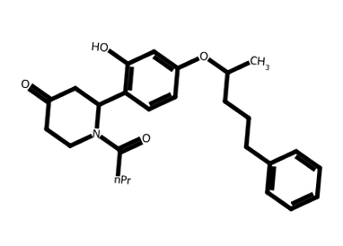 CCCC(=O)N1CCC(=O)CC1c1ccc(OC(C)CCCc2ccccc2)cc1O